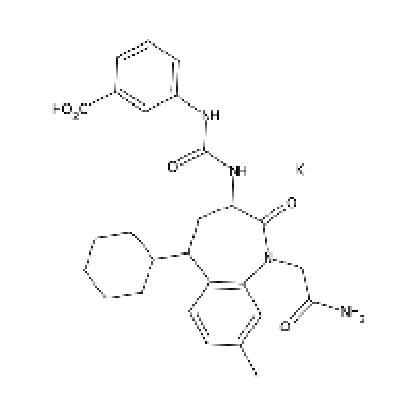 Cc1ccc2c(c1)N(CC(N)=O)C(=O)C(NC(=O)Nc1cccc(C(=O)O)c1)CC2C1CCCCC1.[K]